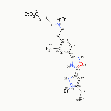 CCCN(CCCC(=O)OCC)CCc1ccc(-c2noc(-c3cc(CC(C)C)n(CC)n3)n2)cc1C(F)(F)F